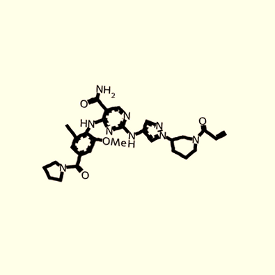 C=CC(=O)N1CCCC(n2cc(Nc3ncc(C(N)=O)c(Nc4c(C)cc(C(=O)N5CCCC5)cc4OC)n3)cn2)C1